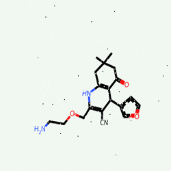 CC1(C)CC(=O)C2=C(C1)NC(COCCN)=C(C#N)C2c1ccoc1